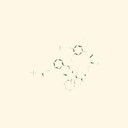 C=CC(=O)OCC(C)(C)C(=O)C(=O)N1CCCC[C@H]1C(=O)O[C@H](CCc1cc(OC)c(OC)cc1O)c1cccc(OCC(=O)O)c1